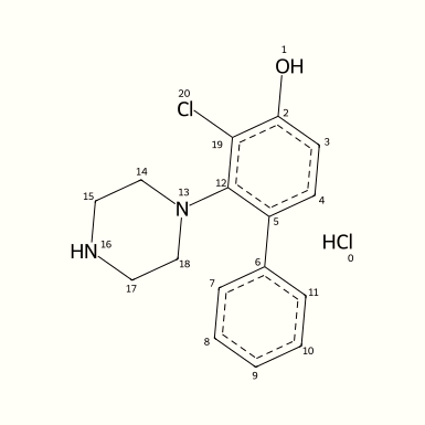 Cl.Oc1ccc(-c2ccccc2)c(N2CCNCC2)c1Cl